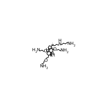 CC[C@@]1(C)C(CCOCCCN)C[C@@H](OCCCN)C2[C@@H]3CCC([C@H](C)CCCNCCCCN)[C@@]3(C)[C@@H](OCCCN)C[C@@H]21